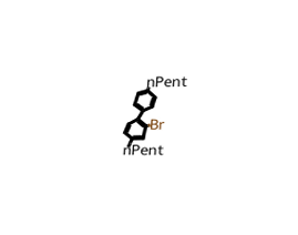 CCCCCc1ccc(-c2ccc(CCCCC)cc2Br)cc1